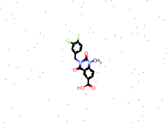 Cn1c(=O)n(Cc2ccc(F)c(F)c2)c(=O)c2cc(C(=O)O)ccc21